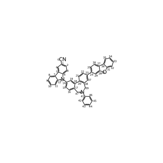 N#Cc1ccc2c(c1)c1ccccc1n2-c1ccc2c(c1)-c1ccc(-c3ccc4c(c3)oc3ccccc34)cc1CN(c1ccccc1)C2